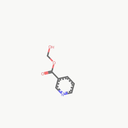 O=C(OCO)c1cccnc1